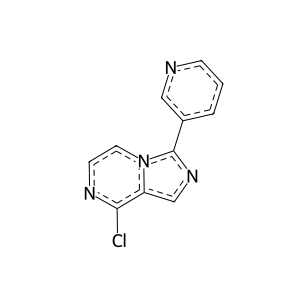 Clc1nccn2c(-c3cccnc3)ncc12